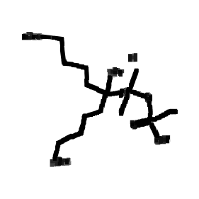 CCCCCCCCCCCCCCC(CCC)(CCCCCCCCCCCCCC)[PH](C)(C)OP(C)(=O)O.I